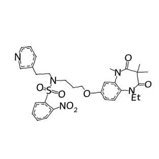 CCN1C(=O)C(C)(C)C(=O)N(C)c2cc(OCCCN(CCc3cccnc3)S(=O)(=O)c3ccccc3[N+](=O)[O-])ccc21